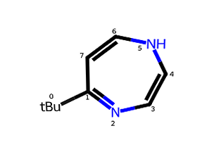 CC(C)(C)C1=NC=CNC=C1